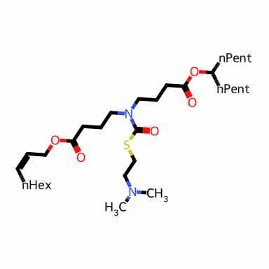 CCCCCC/C=C\COC(=O)CCCN(CCCC(=O)OC(CCCCC)CCCCC)C(=O)SCCN(C)C